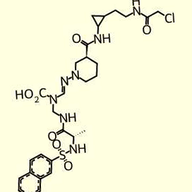 C[C@H](NS(=O)(=O)c1ccc2ccccc2c1)C(=O)NCN(C=NN1CCC[C@H](C(=O)NC2CC2CCNC(=O)CCl)C1)C(=O)O